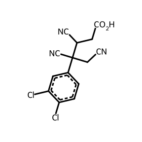 N#CCC(C#N)(c1ccc(Cl)c(Cl)c1)C(C#N)CC(=O)O